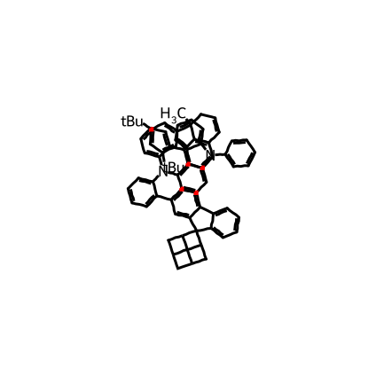 CC(C)(C)c1cc(C(C)(C)C)cc(C2(C)CC=Cc3cccc(-c4ccccc4N(c4ccccc4-c4ccc5c(c4)C4(c6ccccc6-5)C5CC6CC7CC4C675)c4cccc5c4c4ccccc4n5-c4ccccc4)c32)c1